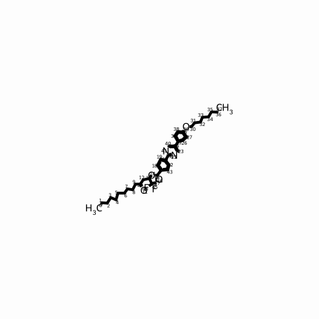 CCCCCCCCCCC(=O)CC(OC(=O)c1ccc(-c2ncc(-c3ccc(OCCCCCCCC)cc3)cn2)cc1)C(F)(F)F